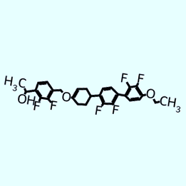 CCOc1ccc(-c2ccc(C3CC=C(OCc4ccc(C(C)O)c(F)c4F)CC3)c(F)c2F)c(F)c1F